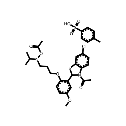 COc1ccc(OCCCN(OC(C)=O)C(C)C)c(C2Sc3cc(Cl)ccc3N2C(C)=O)c1.Cc1ccc(S(=O)(=O)O)cc1